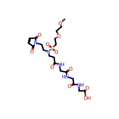 COCCOCCS(=O)(=O)N(CCC(=O)NCC(=O)NCC(=O)NCC(=O)O)CCN1C(=O)C=CC1=O